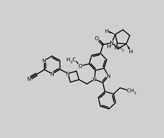 CCc1ccccc1-c1nc2cc(C(=O)N3C[C@H]4CC[C@@H]3[C@@H]4N)cc(OC)c2n1CC1CN(c2ccnc(C#N)n2)C1